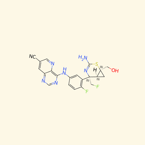 N#Cc1cnc2c(Nc3ccc(F)c([C@@]4(CF)N=C(N)S[C@@]5(CO)C[C@H]54)c3)ncnc2c1